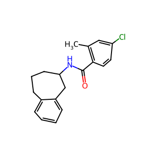 Cc1cc(Cl)ccc1C(=O)NC1CCCc2ccccc2C1